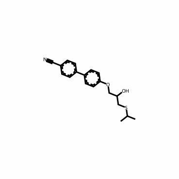 CC(C)SCC(O)COc1ccc(-c2ccc(C#N)cc2)cc1